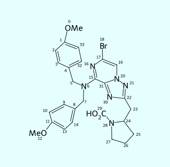 COc1ccc(CN(Cc2ccc(OC)cc2)c2nc(Br)cn3nc(CC4CCCN4C(=O)O)nc23)cc1